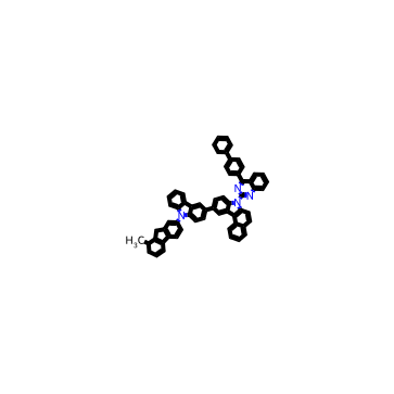 CC1CC=CC2=C1Cc1cc(-n3c4ccccc4c4cc(-c5ccc6c(c5)c5c7ccccc7ccc5n6-c5nc(-c6ccc(C7=CC=CCC7)cc6)c6ccccc6n5)ccc43)ccc12